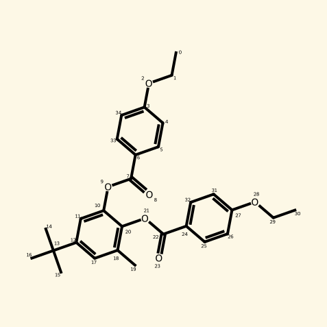 CCOc1ccc(C(=O)Oc2cc(C(C)(C)C)cc(C)c2OC(=O)c2ccc(OCC)cc2)cc1